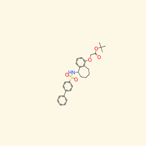 CC(C)(C)OC(=O)COc1cccc2c1CCCCC2NS(=O)(=O)c1ccc(-c2ccccc2)cc1